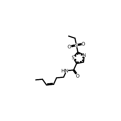 CC/C=C\CCNC(=O)c1cnc(S(=O)(=O)CC)s1